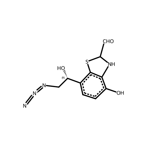 [N-]=[N+]=NC[C@H](O)c1ccc(O)c2c1SC(C=O)N2